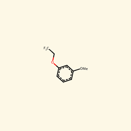 COc1c[c]cc(OCC(F)(F)F)c1